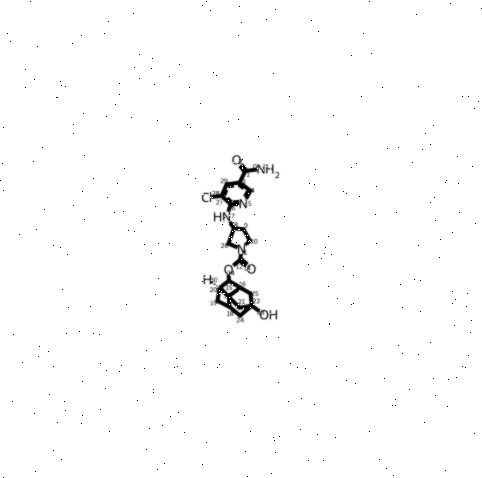 NC(=O)c1cnc(NC2CCN(C(=O)OC3C4CC5C[C@@H]3CC(O)(C5)C4)C2)c(Cl)c1